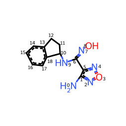 Nc1nonc1C(=NO)NC1CCc2ccccc21